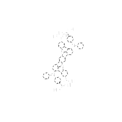 CC(C)c1ccc(N(c2ccccc2)c2ccc3c4cc5c(cc4n4c6ccc(C(C)C)cc6c2c34)c2ccc(N(c3ccccc3)c3ccc(C(C)C)cc3)c3c4cc(C(C)C)ccc4n5c23)cc1